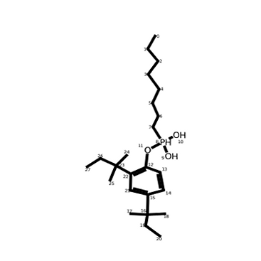 CCCCCCCC[PH](O)(O)Oc1ccc(C(C)(C)CC)cc1C(C)(C)CC